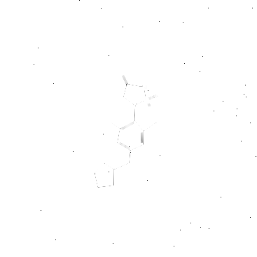 O=C1CN(c2c(O)cc(CC3CCCC3)cc2F)S(=O)(=O)N1